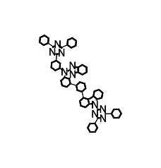 c1ccc(-c2nc(-c3ccccc3)nc(-c3cccc(-n4c5cccc(-c6cccc(-c7cccc8c7c7ccccc7n8-c7nc(-c8ccccc8)nc(-c8ccccc8)n7)c6)c5n5c6ccccc6nc45)c3)n2)cc1